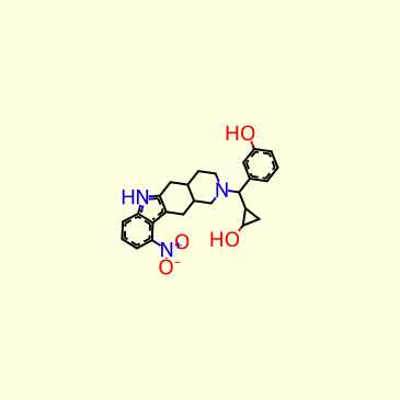 O=[N+]([O-])c1cccc2[nH]c3c(c12)CC1CN(C(c2cccc(O)c2)C2CC2O)CCC1C3